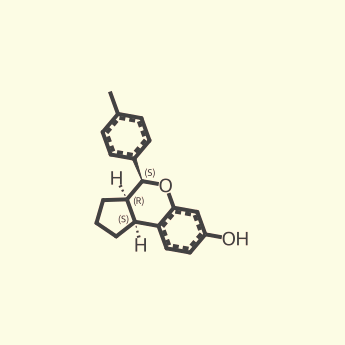 Cc1ccc([C@H]2Oc3cc(O)ccc3[C@H]3CCC[C@H]32)cc1